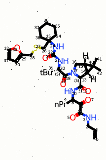 C=CCNC(=O)C(=O)C(CCC)NC(=O)[C@@H]1[C@@H]2[C@H](CN1C(=O)[C@@H](NC(=O)NC1(CSCc3ccco3)CCCCC1)C(C)(C)C)C2(C)C